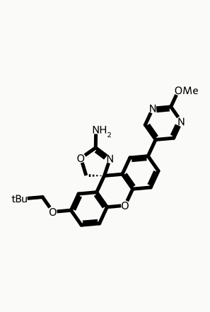 COc1ncc(-c2ccc3c(c2)[C@@]2(COC(N)=N2)c2cc(OCC(C)(C)C)ccc2O3)cn1